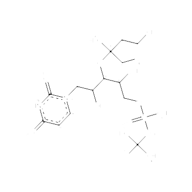 CCCC(C)(CC)OC(C(C)COP(=O)(O)OC(C)(C)C)C(O)Cn1ccc(=O)[nH]c1=O